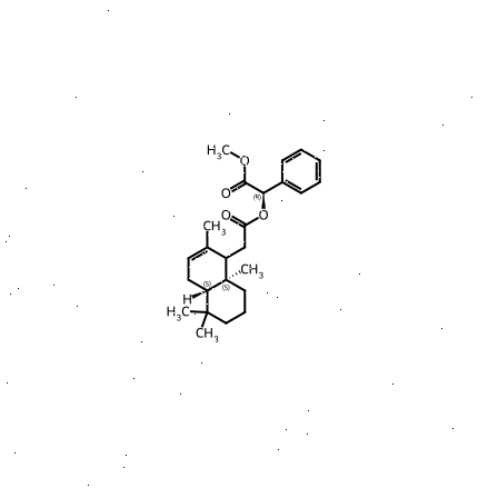 COC(=O)[C@H](OC(=O)CC1C(C)=CC[C@H]2C(C)(C)CCC[C@]12C)c1ccccc1